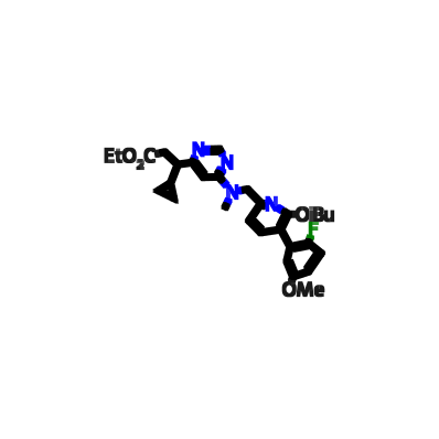 CCOC(=O)CC(c1cc(N(C)Cc2ccc(-c3cc(OC)ccc3F)c(OCC(C)C)n2)ncn1)C1CC1